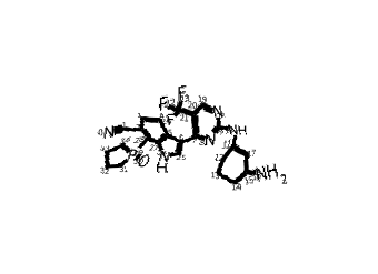 N#Cc1ccc2c(-c3nc(NC4CCCC(N)C4)ncc3C(F)(F)F)c[nH]c2c1P1(=O)CCCC1